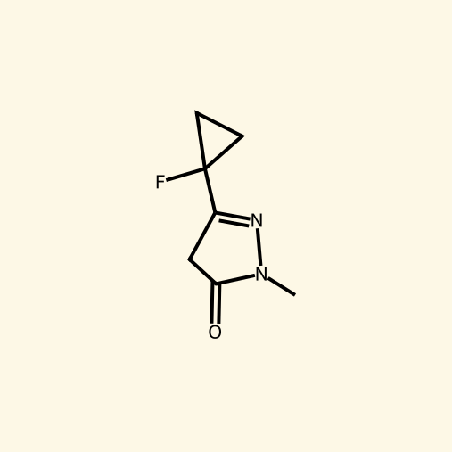 CN1N=C(C2(F)CC2)CC1=O